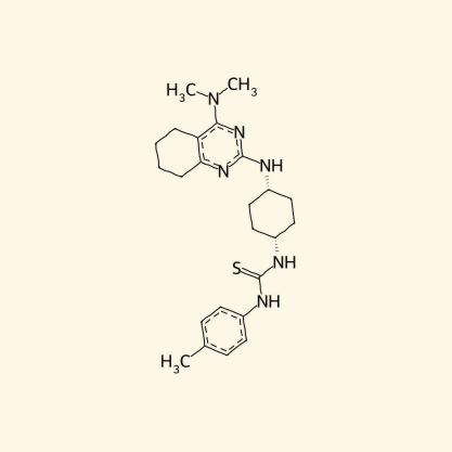 Cc1ccc(NC(=S)N[C@H]2CC[C@@H](Nc3nc4c(c(N(C)C)n3)CCCC4)CC2)cc1